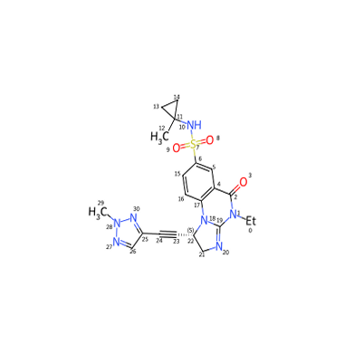 CCN1C(=O)c2cc(S(=O)(=O)NC3(C)CC3)ccc2N2C1=NC[C@@H]2C#Cc1cnn(C)n1